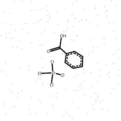 O=C(O)c1ccccc1.[Cl][Zr]([Cl])([Cl])[Cl]